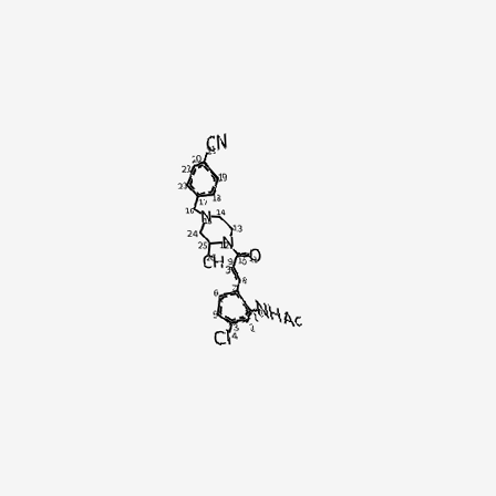 CC(=O)Nc1cc(Cl)ccc1C=CC(=O)N1CCN(Cc2ccc(C#N)cc2)CC1C